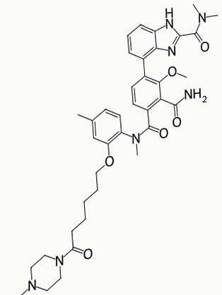 COc1c(-c2cccc3[nH]c(C(=O)N(C)C)nc23)ccc(C(=O)N(C)c2ccc(C)cc2OCCCCCC(=O)N2CCN(C)CC2)c1C(N)=O